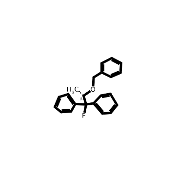 C[C@H](OCc1ccccc1)C(F)(c1ccccc1)c1ccccc1